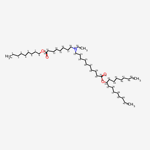 CCCCCCCCCOC(=O)CCCCCCCN(CC)CCCCCCCCCC(=O)OC(CCCCCCCC)CCCCCCCC